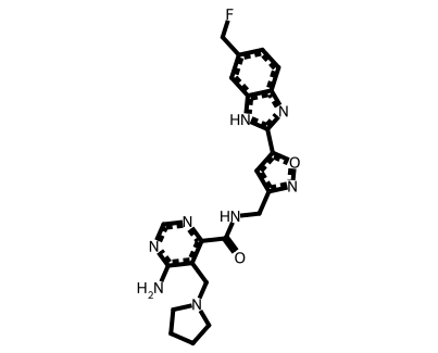 Nc1ncnc(C(=O)NCc2cc(-c3nc4ccc(CF)cc4[nH]3)on2)c1CN1CCCC1